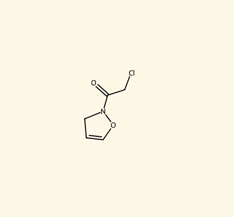 O=C(CCl)N1CC=CO1